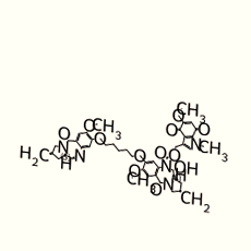 C=C1C[C@H]2C=Nc3cc(OCCCCCOc4cc5c(cc4OC)C(=O)N4CC(=C)C[C@H]4C(O)N5C(=O)OCc4cn(C)c5c4C(=O)C(OC)=CC5=O)c(OC)cc3C(=O)N2C1